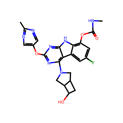 CNC(=O)Oc1cc(F)cc2c1[nH]c1nc(Oc3cnc(C)nc3)nc(N3CC4CC(O)C4C3)c12